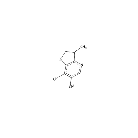 CC1CSc2c1ncc(C#N)c2Cl